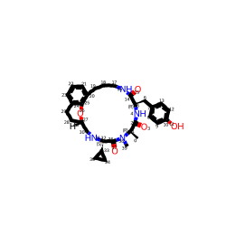 C[C@@H]1C(=O)N[C@H](Cc2ccc(O)cc2)C(=O)NCCCc2cccc3c2O[C@@H](CC3)CN[C@@H](C2CC2)C(=O)N1C